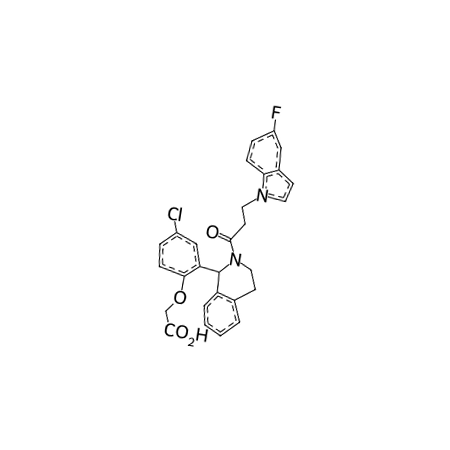 O=C(O)COc1ccc(Cl)cc1C1c2ccccc2CCN1C(=O)CCn1ccc2cc(F)ccc21